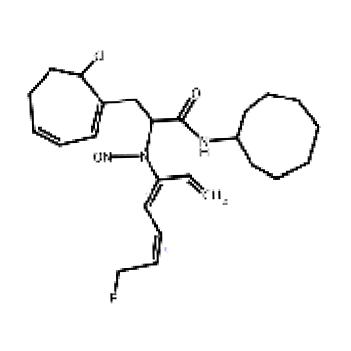 C=C/C(=C\C=C/CF)N(N=O)C(CC1=CC=CCCC1Cl)C(=O)NC1CCCCCCC1